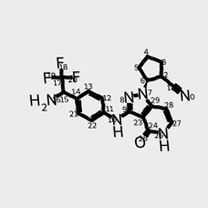 N#CC1CCC[C@@H]1n1nc(Nc2ccc(C(N)C(F)(F)F)cc2)c2c(=O)[nH]ccc21